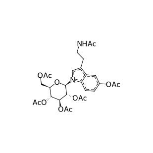 CC(=O)NCCc1cn([C@@H]2O[C@H](COC(C)=O)[C@@H](OC(C)=O)[C@H](OC(C)=O)[C@H]2OC(C)=O)c2ccc(OC(C)=O)cc12